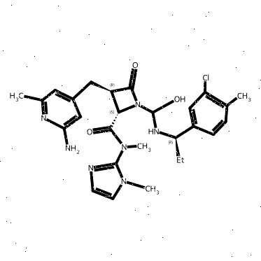 CC[C@@H](NC(O)N1C(=O)[C@H](Cc2cc(C)nc(N)c2)[C@H]1C(=O)N(C)c1nccn1C)c1ccc(C)c(Cl)c1